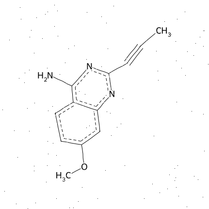 CC#Cc1nc(N)c2ccc(OC)cc2n1